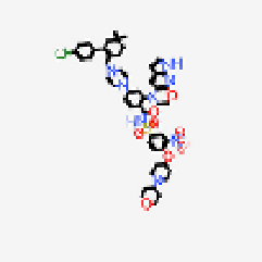 CC1(C)CCC(CN2CCN(c3ccc(C(=O)NS(=O)(=O)c4ccc(OC5CCN(C6CCOCC6)CC5)c([N+](=O)[O-])c4)c(N4CCOc5nc6[nH]ccc6cc54)c3)CC2)=C(c2ccc(Cl)cc2)C1